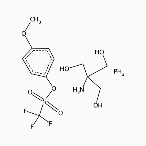 COc1ccc(OS(=O)(=O)C(F)(F)F)cc1.NC(CO)(CO)CO.P